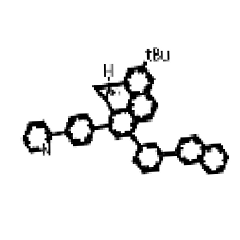 CC(C)(C)c1cc2c3c(ccc4c(-c5cccc(-c6ccc7ccccc7c6)c5)cc(-c5ccc(-c6ccccn6)cc5)c(c43)C3C[C@@H]23)c1